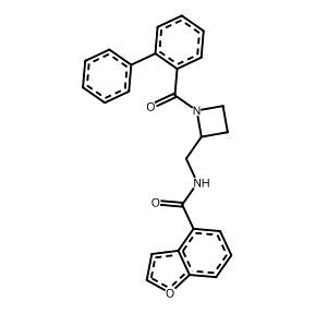 O=C(NCC1CCN1C(=O)c1ccccc1-c1ccccc1)c1cccc2occc12